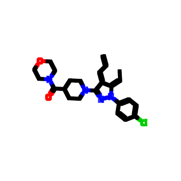 C=C/C=c1/c(N2CCC(C(=O)N3CCOCC3)CC2)nn(-c2ccc(Cl)cc2)/c1=C/C